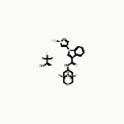 Cn1cc(-n2cc(C(=O)NC3C[C@H]4COC[C@@H](C3)N4)c3ccccc32)cn1.O=C(O)C(F)(F)F